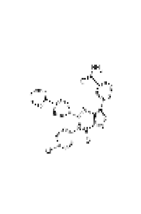 NC(=O)c1cccc(-n2cnc3c(=O)n(-c4ccc(Cl)cc4)c(-c4ccc(-c5ccccc5)cc4)nc32)c1